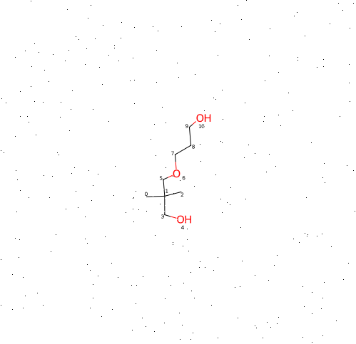 CC(C)(CO)COCCCO